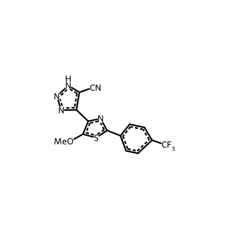 COc1sc(-c2ccc(C(F)(F)F)cc2)nc1-c1nn[nH]c1C#N